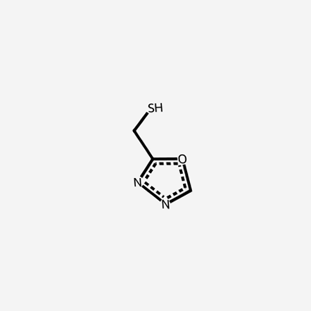 SCc1nnco1